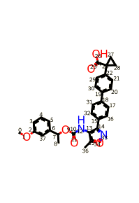 COc1cccc(C(C)OC(=O)Nc2c(-c3ccc(-c4ccc(C5(C(=O)O)CC5)cc4)cc3)noc2C)c1